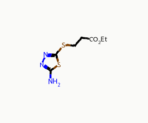 CCOC(=O)CCSc1nnc(N)s1